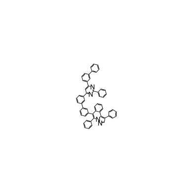 c1ccc(-c2cccc(-c3cc(-c4cccc(-c5cccc(-c6c(-c7ccccc7)n7ncc(-c8ccccc8)c7c7ccccc67)c5)c4)nc(-c4ccccc4)n3)c2)cc1